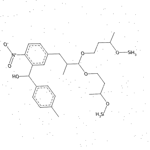 Cc1ccc(C(O)c2cc(CC(C)C(OCCC(C)O[SiH3])OCCC(C)O[SiH3])ccc2[N+](=O)[O-])cc1